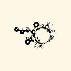 NC(=O)C[C@@H]1NC(=O)[C@@H](N)CC(=O)NCCCC[C@@H](C(N)=O)NC(=O)[C@H](Cc2c[nH]c3ccccc23)NC(=O)[C@@H]2C[C@H](n3cc(-c4ccc(-c5cccs5)s4)nn3)CN2C(=O)[C@H](C2CCCCC2)NC1=O